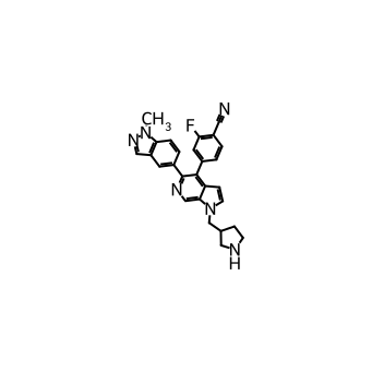 Cn1ncc2cc(-c3ncc4c(ccn4CC4CCNC4)c3-c3ccc(C#N)c(F)c3)ccc21